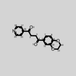 O=C(CCC(=O)c1ccc2c(c1)OCCO2)c1ccncc1